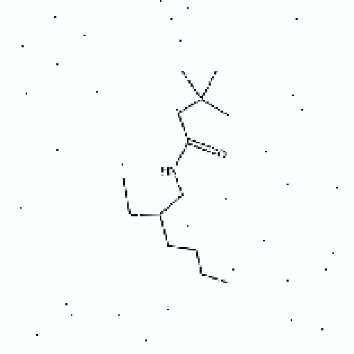 CCCCC(CC)CNC(=O)CC(C)(C)C